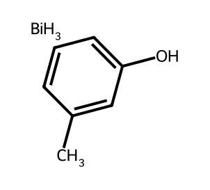 Cc1cccc(O)c1.[BiH3]